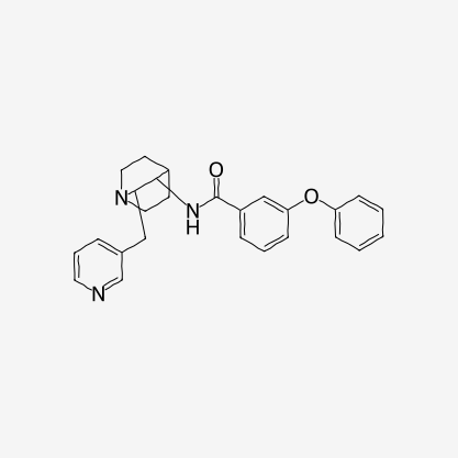 O=C(NC1C2CCN(CC2)C1Cc1cccnc1)c1cccc(Oc2ccccc2)c1